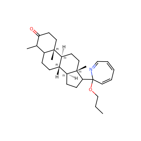 CCCOC1(C2CC[C@H]3[C@@H]4CCC5C(C)C(=O)CC[C@]5(C)[C@H]4CC[C@]23C)C=CC=CC=N1